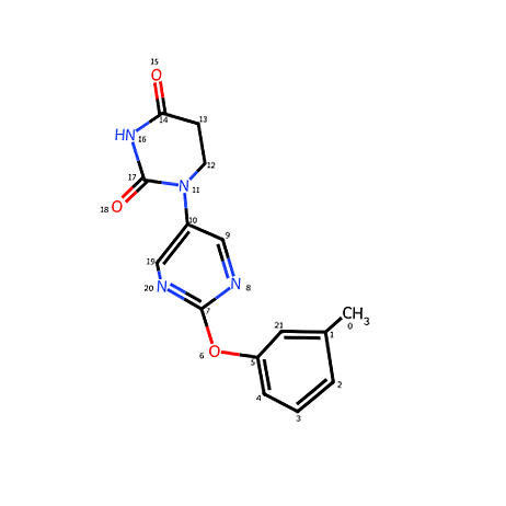 Cc1cccc(Oc2ncc(N3CCC(=O)NC3=O)cn2)c1